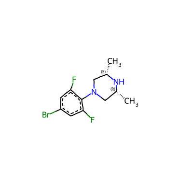 C[C@@H]1CN(c2c(F)cc(Br)cc2F)C[C@H](C)N1